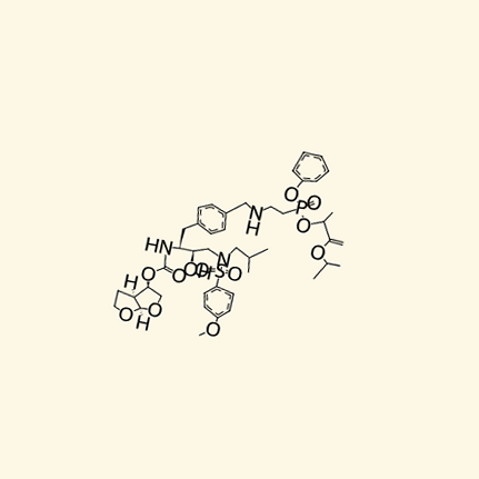 C=C(OC(C)C)C(C)OP(=O)(CCNCc1ccc(C[C@H](NC(=O)O[C@H]2CO[C@H]3OCC[C@H]32)[C@H](O)CN(CC(C)C)S(=O)(=O)c2ccc(OC)cc2)cc1)Oc1ccccc1